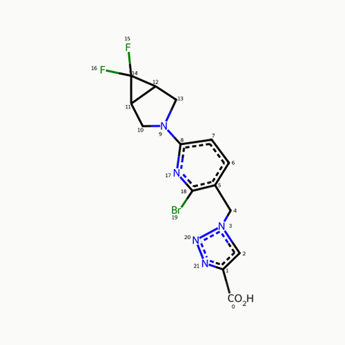 O=C(O)c1cn(Cc2ccc(N3CC4C(C3)C4(F)F)nc2Br)nn1